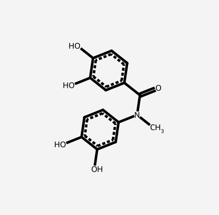 CN(C(=O)c1ccc(O)c(O)c1)c1ccc(O)c(O)c1